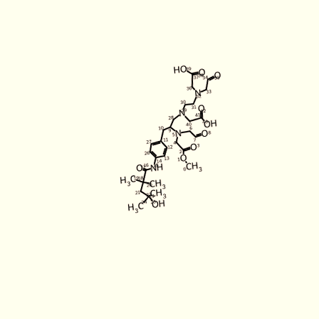 COC(=O)CN(CC=O)C(Cc1ccc(NC(=O)C(C)(C)CC(C)(C)O)cc1)CN(CCN(CC=O)CC(=O)O)CC(=O)O